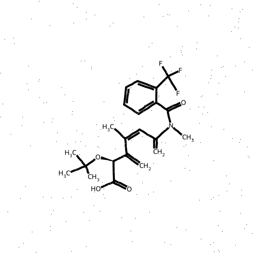 C=C(/C(C)=C\C(=C)N(C)C(=O)c1ccccc1C(F)(F)F)[C@H](OC(C)(C)C)C(=O)O